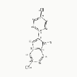 Cn1c(-c2ccc(Cl)cc2)cc2cc(Cl)ccc21